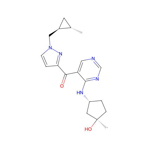 [CH2][C@@]1(O)CC[C@@H](Nc2ncncc2C(=O)c2ccn(C[C@H]3C[C@@H]3C)n2)C1